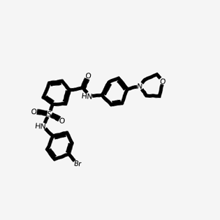 O=C(Nc1ccc(N2CCOCC2)cc1)c1cccc(S(=O)(=O)Nc2ccc(Br)cc2)c1